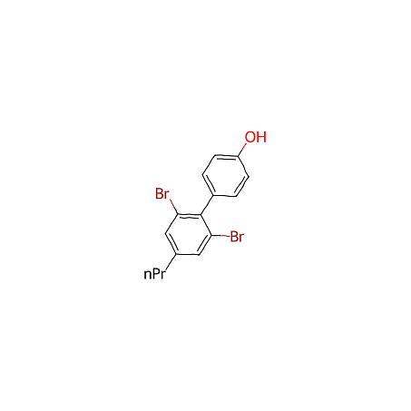 CCCc1cc(Br)c(-c2ccc(O)cc2)c(Br)c1